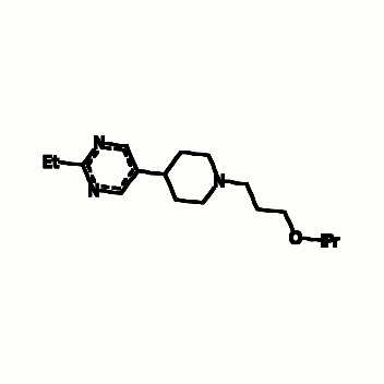 CCc1ncc(C2CCN(CCCOC(C)C)CC2)cn1